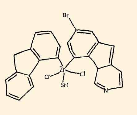 [SH][Zr]([Cl])([Cl])([c]1cccc2c1-c1ccccc1C2)[c]1cc(Br)cc2c1C1C=NC=CC1=C2